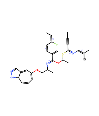 C=C(/C=C\C(F)=C/C)/C(=N/C(C)COC1=CC=CC2NN=CC2=C1)OC(C)S/C(C#CC)=N/C=C(/C)CC